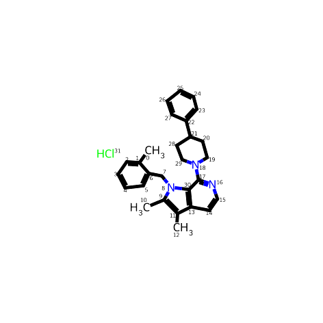 Cc1ccccc1Cn1c(C)c(C)c2ccnc(N3CCC(c4ccccc4)CC3)c21.Cl